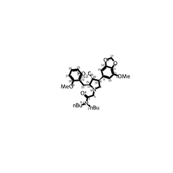 CCCCN(CCCC)C(=O)CN1C[C@H](c2cc(OC)c3c(c2)OCO3)[C@@H](C(=O)O)[C@@H]1Cc1ccccc1OC